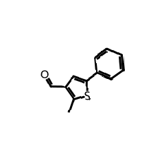 Cc1sc(-c2ccccc2)cc1C=O